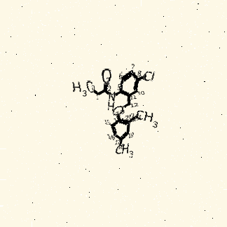 CCC(=O)Nc1ccc(Cl)cc1COc1ccc(C)cc1C